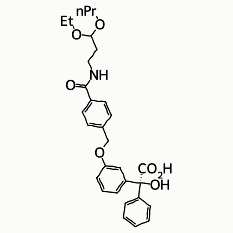 CCCOC(CCNC(=O)c1ccc(COc2cccc([C@](O)(C(=O)O)c3ccccc3)c2)cc1)OCC